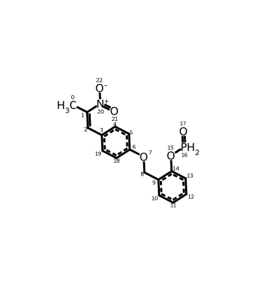 CC(=Cc1ccc(OCc2ccccc2O[PH2]=O)cc1)[N+](=O)[O-]